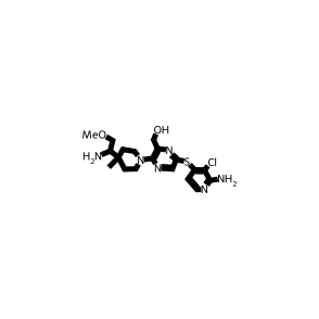 COCC(N)C1(C)CCN(c2ncc(Sc3ccnc(N)c3Cl)nc2CO)CC1